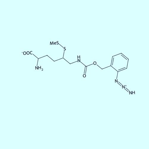 CSSC(CCC(N)C(=O)[O-])CNC(=O)OCc1ccccc1N=[N+]=N